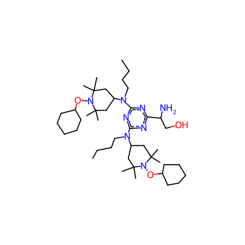 CCCCN(c1nc(C(N)CO)nc(N(CCCC)C2CC(C)(C)N(OC3CCCCC3)C(C)(C)C2)n1)C1CC(C)(C)N(OC2CCCCC2)C(C)(C)C1